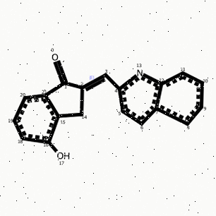 O=C1/C(=C/c2ccc3ccccc3n2)Cc2c(O)cccc21